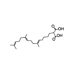 CC(C)=CCCC(C)=CCCC(C)=CCCCCC(C(=O)O)C(=O)O